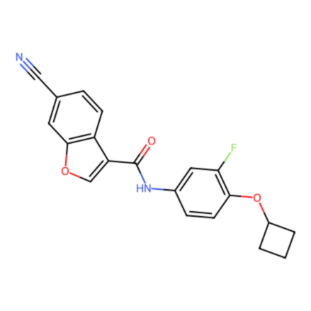 N#Cc1ccc2c(C(=O)Nc3ccc(OC4CCC4)c(F)c3)coc2c1